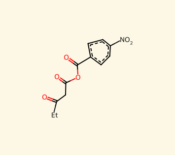 CCC(=O)CC(=O)OC(=O)c1ccc([N+](=O)[O-])cc1